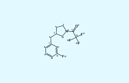 O=C(N1CCC(Cc2cccc(F)c2)C1)C(F)(F)F